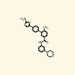 Cc1ccc(C(=O)Nc2cccc(N3CCOCC3)c2)cc1-c1ccc(-c2csc(N)n2)cc1